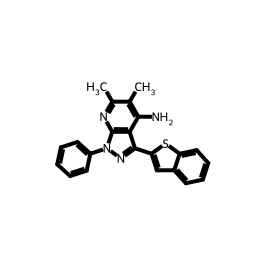 Cc1nc2c(c(-c3cc4ccccc4s3)nn2-c2ccccc2)c(N)c1C